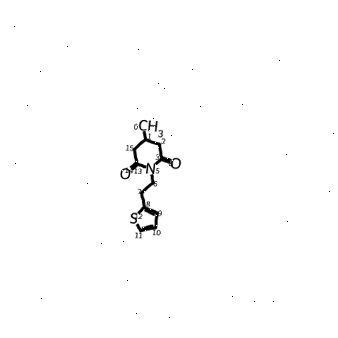 CC1CC(=O)N(CCc2cccs2)C(=O)C1